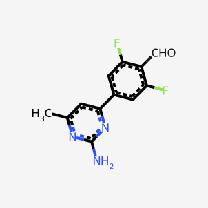 Cc1cc(-c2cc(F)c(C=O)c(F)c2)nc(N)n1